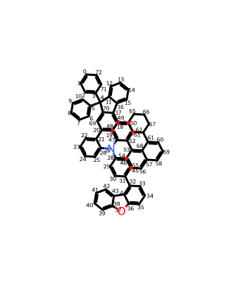 c1ccc(C2(c3ccccc3)c3ccccc3-c3ccc(-c4ccccc4N(c4ccc(-c5cccc6oc7ccccc7c56)cc4)c4ccccc4-c4cccc5cccc(C6CCCCC6)c45)cc32)cc1